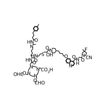 C/C(=N\CCCC[C@H](NC(=O)CN1CCN(COC=O)CCN(COC=O)CCN(CC(=O)O)CC1)C(=O)NCCSC[C@@H](O)C(=O)N1CCC(CCCCOc2ccc3nccc(C(=O)NCC(=O)N4CC(C)(F)C[C@@H]4C#N)c3c2)CC1)NC(=O)CCCc1ccc(C)cc1